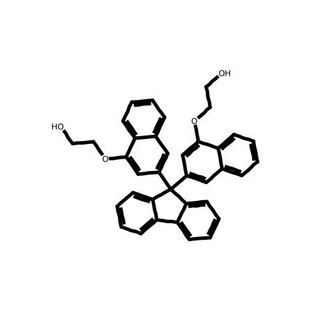 OCCOc1cc(C2(c3cc(OCCO)c4ccccc4c3)c3ccccc3-c3ccccc32)cc2ccccc12